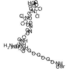 C=C(N)NCCCC(NC(=O)C(NC(=O)CCOCCOCCOCCOCCOCCOCCNC(=O)CBr)C(C)C)C(=O)Nc1ccc(COC(=O)N(C)CCN(C)C(=O)Oc2cc3c(c4ccccc24)C(CCl)CN3C(=O)c2ccc(C(=O)N3CC(CCl)c4c3cc(OP(=O)(O)O)c3ccccc43)s2)cc1